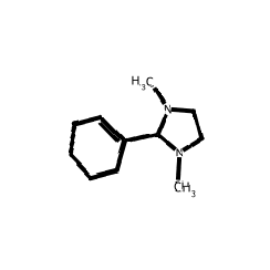 CN1CCN(C)C1C1=CCCCC1